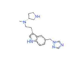 CN(CCc1c[nH]c2ccc(Cn3cncn3)cc12)[C@@H]1CCNC1